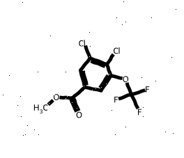 COC(=O)c1cc(Cl)c(Cl)c(OC(F)(F)F)c1